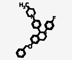 C=C1CCN(c2ccc(C3c4ccc(OCc5ccccc5)cc4CC[C@@H]3c3ccc(F)cc3)cc2)CC1